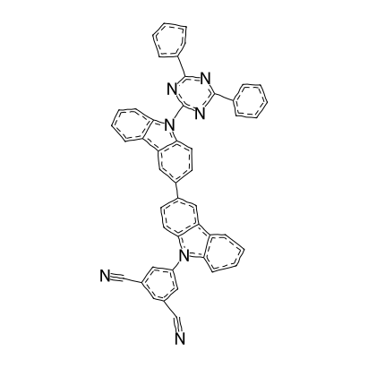 N#Cc1cc(C#N)cc(-n2c3ccccc3c3cc(-c4ccc5c(c4)c4ccccc4n5-c4nc(-c5ccccc5)nc(-c5ccccc5)n4)ccc32)c1